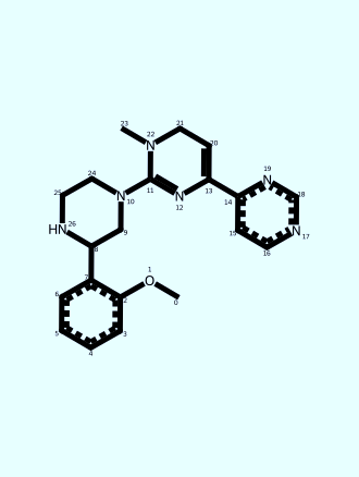 COc1ccccc1C1CN(C2=NC(c3ccncn3)=CCN2C)CCN1